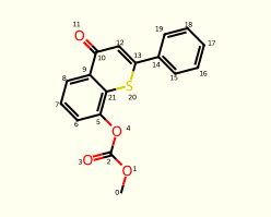 COC(=O)Oc1cccc2c(=O)cc(-c3ccccc3)sc12